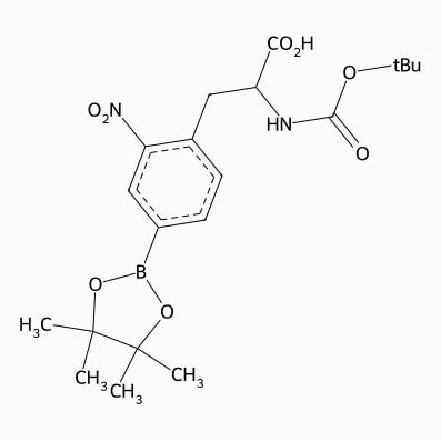 CC(C)(C)OC(=O)NC(Cc1ccc(B2OC(C)(C)C(C)(C)O2)cc1[N+](=O)[O-])C(=O)O